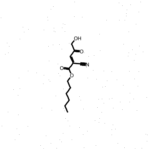 CCCCCCOC(=O)C(C#N)=CC(=O)CO